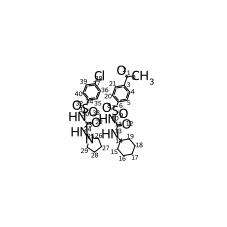 CC(=O)c1ccc(S(=O)(=O)NC(=O)NC2CCCCC2)cc1.O=C(NN1CCCC1)NS(=O)(=O)c1ccc(Cl)cc1